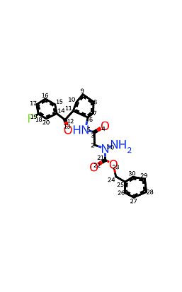 NN(CC(=O)Nc1ccccc1C(=O)c1cccc(F)c1)C(=O)OCc1ccccc1